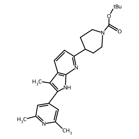 Cc1cc(-c2[nH]c3nc(C4CCN(C(=O)OC(C)(C)C)CC4)ccc3c2C)cc(C)n1